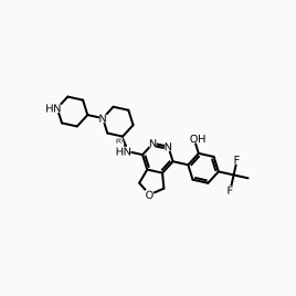 CC(F)(F)c1ccc(-c2nnc(N[C@@H]3CCCN(C4CCNCC4)C3)c3c2COC3)c(O)c1